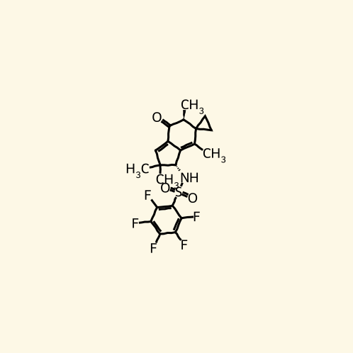 CC1=C2C(=CC(C)(C)[C@H]2NS(=O)(=O)c2c(F)c(F)c(F)c(F)c2F)C(=O)[C@@H](C)C12CC2